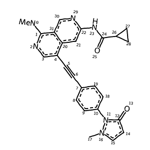 CNc1ncc(C#Cc2ccc(-n3c(=O)ccn3C)cc2)c2cc(NC(=O)C3CC3)ncc12